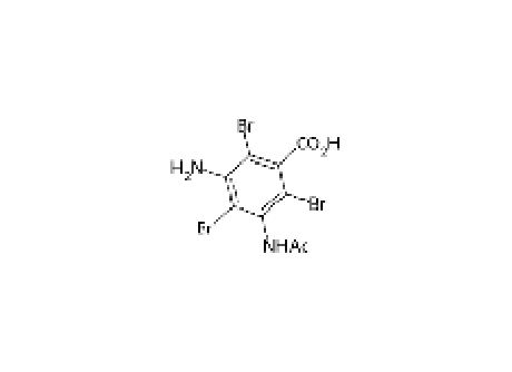 CC(=O)Nc1c(Br)c(N)c(Br)c(C(=O)O)c1Br